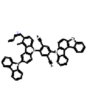 C=C/C=C\c1ccc2c(c1C)c1cc(-n3c4ccccc4c4ccccc43)ccc1n2-c1cc(C#N)c(-n2c3ccccc3c3c4c(ccc32)oc2ccccc24)cc1C#N